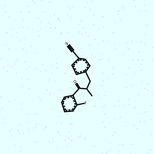 CC(Cc1ccc(C#N)cc1)C(=O)c1ccccc1F